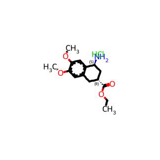 CCOC(=O)[C@@H]1Cc2cc(OC)c(OC)cc2[C@@H](N)C1.Cl